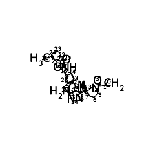 C=CC(=O)N1CCCC(n2nc(-c3ccc(CNS(=O)(=O)c4cccc(C)c4)cc3)c3c(N)ncnc32)C1